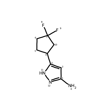 Nc1cc(C2CCC(F)(F)C2)[nH]n1